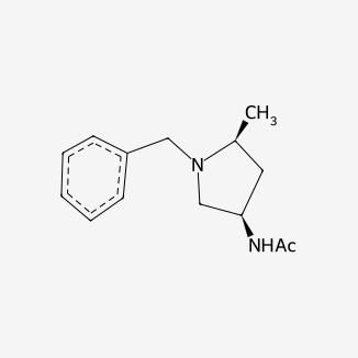 CC(=O)N[C@@H]1C[C@H](C)N(Cc2ccccc2)C1